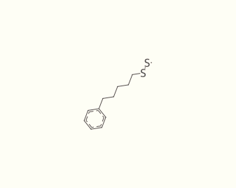 [S]SCCCCCc1ccccc1